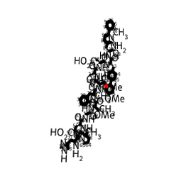 CCc1cc(OC)ccc1-c1ccc(C[C@H](NC(=O)[C@H](CC(=O)O)NC(=O)[C@H](CO)NC(=O)[C@@H](NC(=O)C(C)(Cc2ccccc2F)NC(=O)[C@@H](NC(=O)CNC(=O)[C@H](CCC(=O)O)NC(=O)C2(C)CCCN2C(=O)[C@@H](N)Cc2c[nH]cn2)[C@@H](C)OC)[C@@H](C)OC)C(=O)N[C@@H](Cc2ccc(-c3ccccc3C)nc2)C(N)=O)cc1